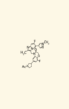 CC(=O)N1CCC(c2cc(F)c3c(c2)N(Cc2c(C)nc4cc(F)c(-c5cnn(C)c5)cn24)C(=O)CO3)C1